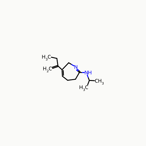 C=C(CC)C1=CCCC(NC(C)C)=NC1